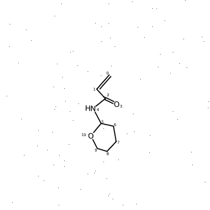 C=CC(=O)NC1CCCCO1